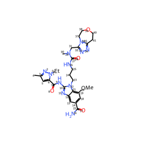 CCn1nc(C)cc1C(=O)Nc1nc2cc(C(N)=O)cc(OC)c2n1CCCNC(=O)N(C)Cc1nnc2n1CCOCC2